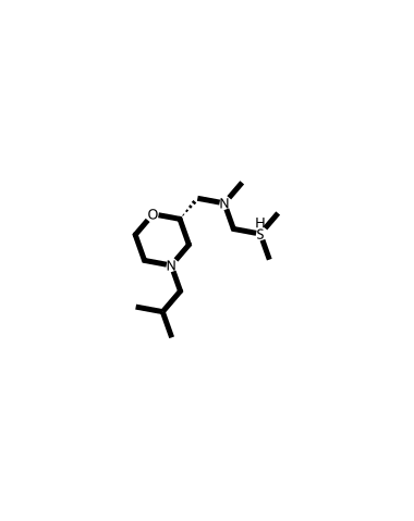 CC(C)CN1CCO[C@H](CN(C)C[SH](C)C)C1